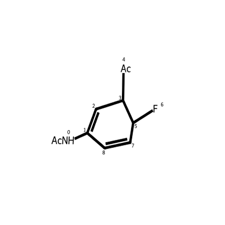 CC(=O)NC1=CC(C(C)=O)C(F)C=C1